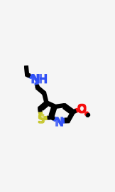 CCNCCc1csc2ncc(OC)cc12